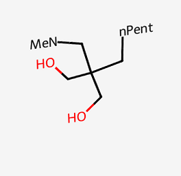 CCCCCCC(CO)(CO)CNC